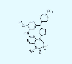 CCOc1ccc(CN2CCN(C)CC2)cc1Nc1ncc2c(n1)N(C1CCCC1)CC(F)(F)C(=O)N2C